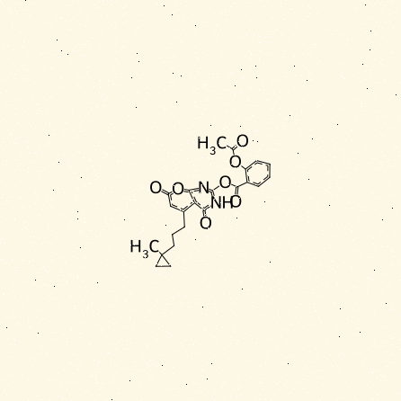 CC(=O)Oc1ccccc1C(=O)Oc1nc2oc(=O)cc(CCCC3(C)CC3)c2c(=O)[nH]1